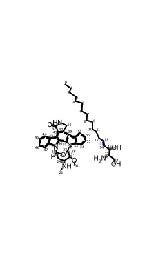 CCCCCCCCCCCCC/C=C/[C@@H](O)[C@@H](N)CO.CN[C@H]1C[C@@H]2O[C@](C)([C@H]1OC)n1c3ccccc3c3c4c(c5c6ccccc6n2c5c31)C(=O)NC4